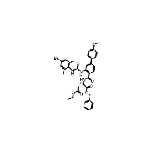 CCOC(=O)C[C@H](NC(=O)c1ccc(-c2ccc(OC)cc2)cc1NC(=O)Nc1c(C)cc(Br)cc1C)C(=O)OCc1ccccc1